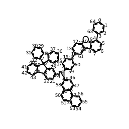 c1ccc(-c2cccc3c2oc2ccc(-c4ccc(N(c5ccc6c(c5)C(c5ccccc5)(c5ccccc5)c5ccccc5-6)c5ccc6c(ccc7ccccc76)c5)cc4)cc23)cc1